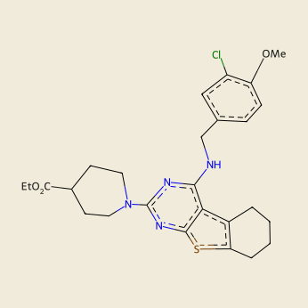 CCOC(=O)C1CCN(c2nc(NCc3ccc(OC)c(Cl)c3)c3c4c(sc3n2)CCCC4)CC1